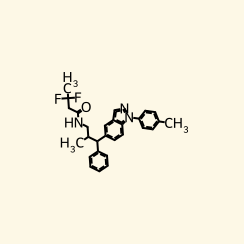 Cc1ccc(-n2ncc3cc(C(c4ccccc4)C(C)CNC(=O)CC(C)(F)F)ccc32)cc1